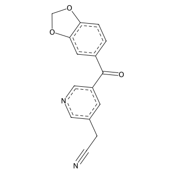 N#CCc1cncc(C(=O)c2ccc3c(c2)OCO3)c1